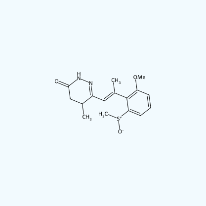 COc1cccc([S+](C)[O-])c1C(C)=CC1=NNC(=O)CC1C